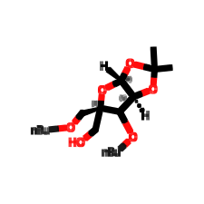 CCCCOC[C@@]1(CO)O[C@@H]2OC(C)(C)O[C@H]2C1OCCCC